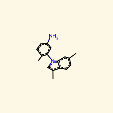 Cc1ccc2c(C)cn(-c3cc(N)ccc3C)c2c1